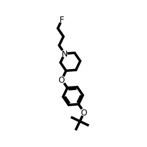 CC(C)(C)Oc1ccc(OC2CCCN(CCCF)C2)cc1